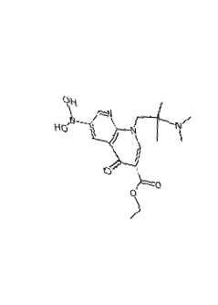 CCOC(=O)c1cn(CC(C)(C)N(C)C)c2ncc(B(O)O)cc2c1=O